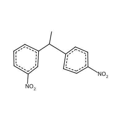 CC(c1ccc([N+](=O)[O-])cc1)c1cccc([N+](=O)[O-])c1